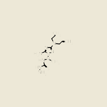 C=CCN(CC=C)c1nc(N)n(N(C)NC(=S)NN)n1